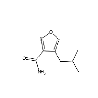 CC(C)Cc1conc1C(N)=O